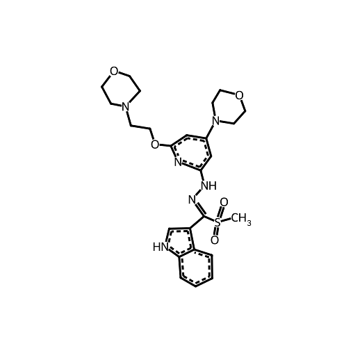 CS(=O)(=O)C(=NNc1cc(N2CCOCC2)cc(OCCN2CCOCC2)n1)c1c[nH]c2ccccc12